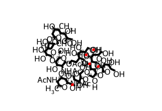 CC(=O)NC1C(O)[C@H](O[C@@H]2OC3CC(O)(O[C@]4(OC=O)C[C@@H](O)[C@@H](C)C([C@H](O)[C@H](O)CO)O4)[C@@H]3[C@H](O)C2O)[C@H](CO)O[C@H]1OCCC1[C@@H](OCC2O[C@@H](O[C@@H]3C(CO)O[C@@H](O[C@@H]4C(CO)O[C@@H](C)C(NC(C)=O)[C@H]4O)C(NC(C)=O)[C@H]3O)C(O)[C@@H](O[C@H]3OC(CO)[C@@H](O)C(O)C3O[C@@H]3OC(CO)[C@@H](O)[C@H](O)C3NC(C)=O)[C@@H]2O)OC(CO)[C@@H](O)[C@@H]1O